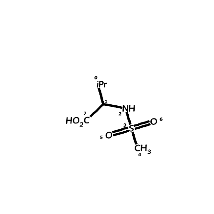 CC(C)C(NS(C)(=O)=O)C(=O)O